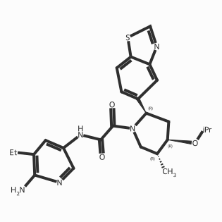 CCc1cc(NC(=O)C(=O)N2C[C@@H](C)[C@H](OC(C)C)C[C@@H]2c2ccc3scnc3c2)cnc1N